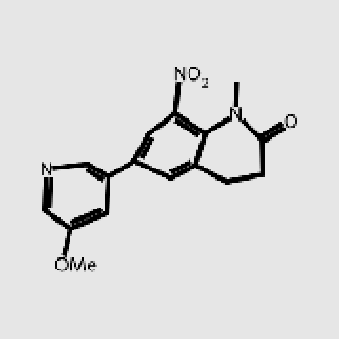 COc1cncc(-c2cc3c(c([N+](=O)[O-])c2)N(C)C(=O)CC3)c1